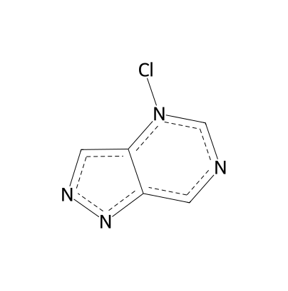 Cln1cncc2nncc1-2